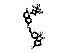 [2H]C([2H])([2H])C1(O)CC(N2C(=O)CCc3cc(OCCN4CCC5(CC4)C(=O)Nc4ccc(Cl)cc45)cnc32)C1